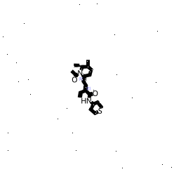 C=C/C(=C\C=C1/CCC(C)[C@H](CC)N1C(C)=O)C(=O)NC1CCSCC1